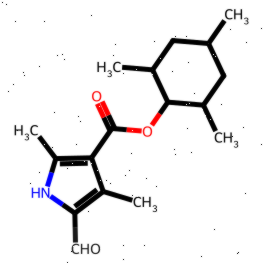 Cc1[nH]c(C=O)c(C)c1C(=O)OC1C(C)CC(C)CC1C